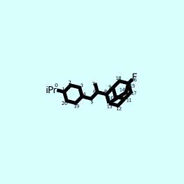 CC(C)C1CCC(CC(C)C2C3CC4CC2CC(F)(C4)C3)CC1